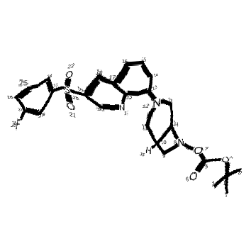 CC(C)(C)OC(=O)ON1C[C@@H]2CN(c3cccc4cc(S(=O)(=O)c5cccc(F)c5)cnc34)CC21